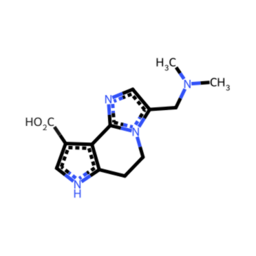 CN(C)Cc1cnc2n1CCc1[nH]cc(C(=O)O)c1-2